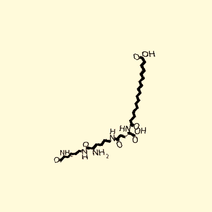 N[C@H]([C]=O)CCCCNC(=O)[C@@H](N)CCCCNC(=O)CC[C@H](NC(=O)CCCCCCCCCCCCCCCCC(=O)O)C(=O)O